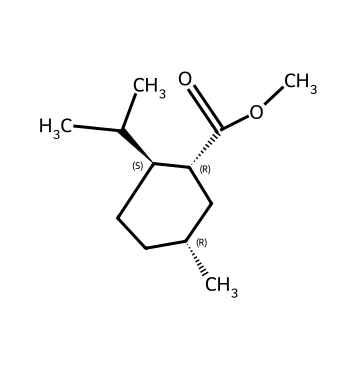 COC(=O)[C@@H]1C[C@H](C)CC[C@H]1C(C)C